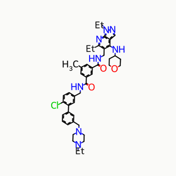 CCc1nc2c(cnn2CC)c(NC2CCOCC2)c1CNC(=O)c1cc(C)cc(C(=O)NCc2ccc(Cl)c(-c3cccc(CN4CCN(CC)CC4)c3)c2)c1